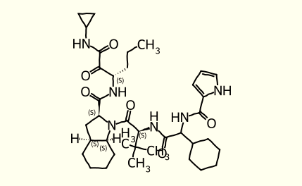 CCC[C@H](NC(=O)[C@@H]1C[C@@H]2CCCC[C@@H]2N1C(=O)[C@@H](NC(=O)C(NC(=O)c1ccc[nH]1)C1CCCCC1)C(C)(C)C)C(=O)C(=O)NC1CC1